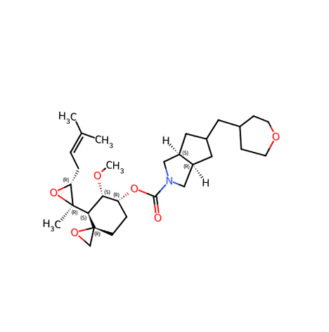 CO[C@@H]1[C@H](OC(=O)N2C[C@H]3CC(CC4CCOCC4)C[C@H]3C2)CC[C@]2(CO2)[C@H]1[C@@]1(C)O[C@@H]1CC=C(C)C